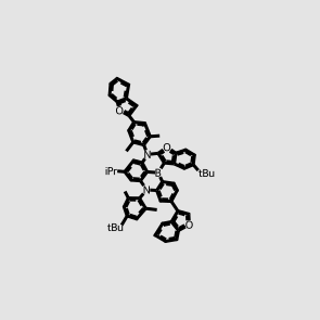 Cc1cc(C(C)(C)C)cc(C)c1N1c2cc(-c3coc4ccccc34)ccc2B2c3c1cc(C(C)C)cc3N(c1c(C)cc(-c3cc4ccccc4o3)cc1C)c1oc3ccc(C(C)(C)C)cc3c12